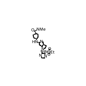 CCS(=O)(=O)Nc1nccnc1Cn1ccc2cnc(Nc3ccc(C(=O)NC)cc3)cc21